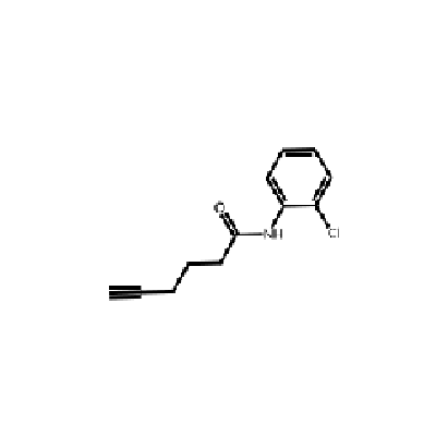 C#CCCCC(=O)Nc1ccccc1Cl